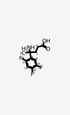 CC(N)(CCC(=O)O)c1cc(F)c(F)cc1F